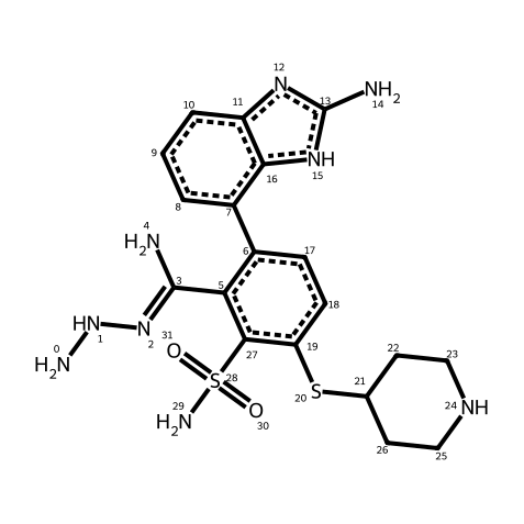 NN/N=C(\N)c1c(-c2cccc3nc(N)[nH]c23)ccc(SC2CCNCC2)c1S(N)(=O)=O